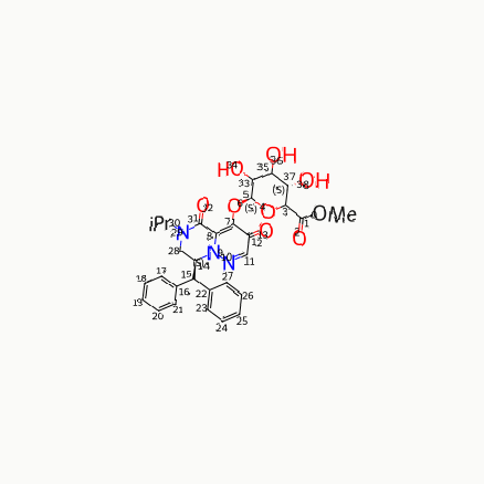 COC(=O)C1O[C@@H](Oc2c3n(ncc2=O)[C@@H](C(c2ccccc2)c2ccccc2)CN(C(C)C)C3=O)C(O)C(O)[C@@H]1O